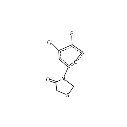 O=C1CSCN1c1ccc(F)c(Cl)c1